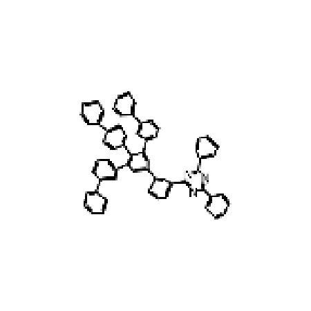 c1ccc(-c2ccc(-c3c(-c4cccc(-c5ccccc5)c4)cc(-c4cccc(-c5nc(-c6ccccc6)nc(-c6ccccc6)n5)c4)cc3-c3cccc(-c4ccccc4)c3)cc2)cc1